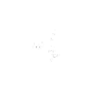 N#Cc1c[nH]c(C(=O)Nc2ccc(C3CCN(CCN4CCOCC4)CC3)cc2C2=CCCCC2)n1.O=C(O)C(F)(F)F.O=C(O)C(F)(F)F